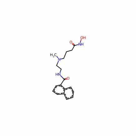 CN(CCCC(=O)NO)CCNC(=O)c1cccc2ccccc12